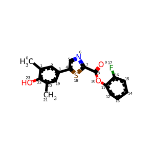 Cc1cc(-c2cnc(C(=O)Oc3ccccc3F)s2)cc(C)c1O